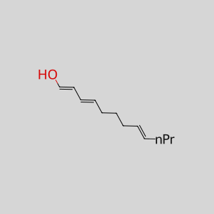 CCCC=CCCCC=CC=CO